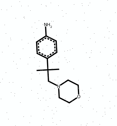 CC(C)(CN1CCOCC1)c1ccc(N)cc1